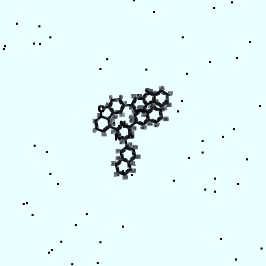 C1=CC2Oc3ccc(-c4ccc5c(c4)sc4ccccc45)cc3C2C(c2nc(-c3ccc4ccccc4c3)nc(-c3ccc4ccccc4c3)n2)=C1